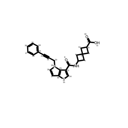 O=C(NC1CC2(C1)CC(C(=O)O)C2)c1csc2ccn(CC#Cc3ccccc3)c12